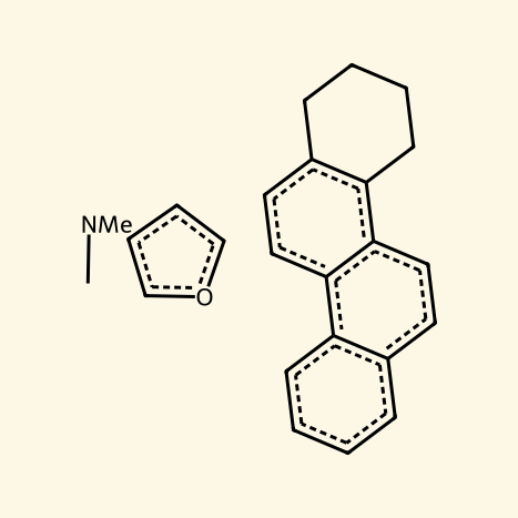 CNC.c1ccc2c(c1)ccc1c3c(ccc12)CCCC3.c1ccoc1